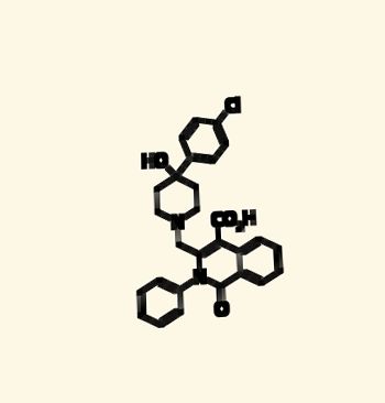 O=C(O)c1c(CN2CCC(O)(c3ccc(Cl)cc3)CC2)n(-c2ccccc2)c(=O)c2ccccc12